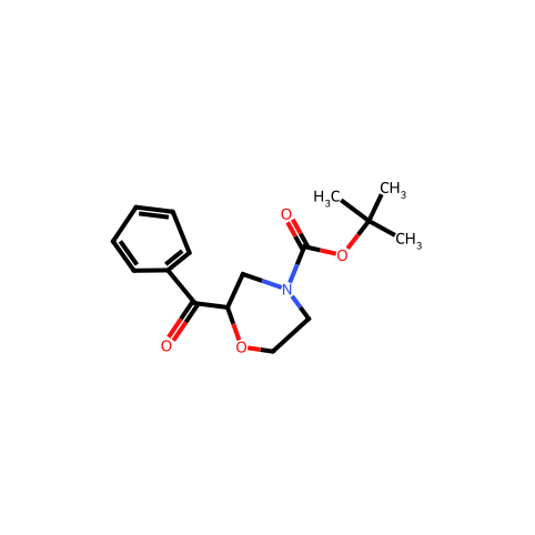 CC(C)(C)OC(=O)N1CCOC(C(=O)c2ccccc2)C1